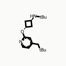 CC(C)(C)Cc1ccnc(O[C@H]2C[C@H](NC(C)(C)C)C2)c1